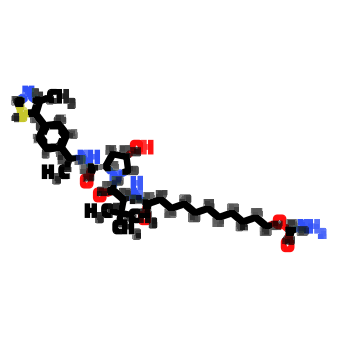 Cc1ncsc1-c1ccc([C@H](C)NC(=O)[C@@H]2C[C@@H](O)CN2C(=O)[C@@H](NC(=O)CCCCCCCCCCOC(N)=O)C(C)(C)C)cc1